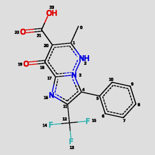 Cc1[nH]n2c(-c3ccccc3)c(C(F)(F)F)nc2c(=O)c1C(=O)O